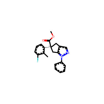 COC(=O)[C@@]1(c2cccc(F)c2C)Cc2cnn(-c3ccccc3)c2C1